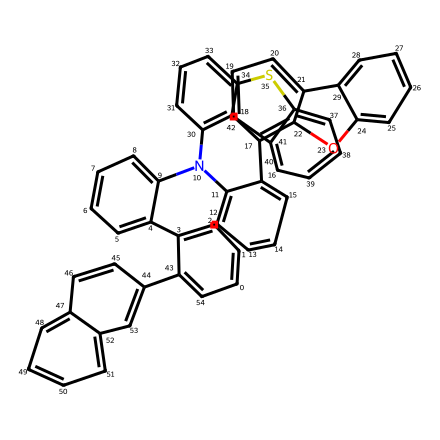 c1ccc(-c2ccccc2N(c2ccccc2-c2cccc3c2oc2ccccc23)c2cccc3sc4ccccc4c23)c(-c2ccc3ccccc3c2)c1